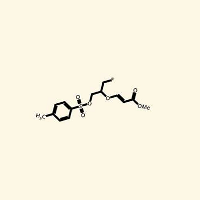 COC(=O)/C=C/OC(CF)COS(=O)(=O)c1ccc(C)cc1